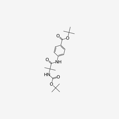 CC(C)(C)OC(=O)NC(C)(C)C(=O)Nc1ccc(C(=O)OC(C)(C)C)cc1